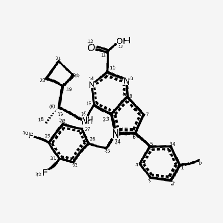 Cc1cccc(-c2cc3nc(C(=O)O)nc(N[C@H](C)C4CCC4)c3n2Cc2ccc(F)c(F)c2)c1